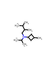 CC1CC(N(CC(C)C(C)C)C(C)C)C1